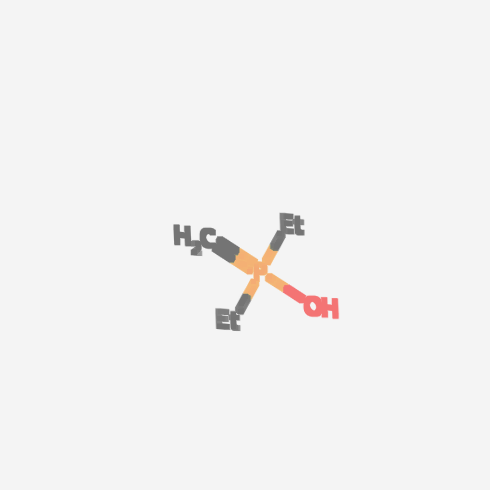 C=P(O)(CC)CC